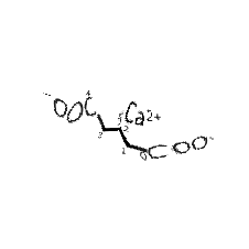 O=C([O-])CCCC(=O)[O-].[Ca+2]